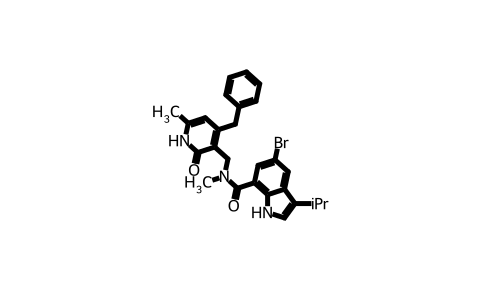 Cc1cc(Cc2ccccc2)c(CN(C)C(=O)c2cc(Br)cc3c(C(C)C)c[nH]c23)c(=O)[nH]1